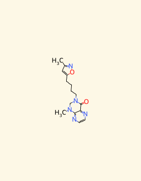 Cc1cc(CCCCN2CN(C)c3nccnc3C2=O)on1